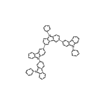 c1ccc(-n2c3ccccc3c3cc(-c4ccc5c(c4)c4cc(-c6ccc7c(c6)c6ccccc6n7-c6ccc7c8ccccc8n(-c8ccccc8)c7c6)ccc4n5-c4ccccc4)ccc32)cc1